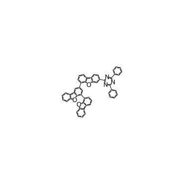 c1ccc(-c2nc(-c3ccccc3)nc(-c3ccc4c(c3)oc3c(-c5cc(-c6cccc7c6oc6ccccc67)c6oc7ccccc7c6c5)cccc34)n2)cc1